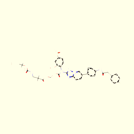 COc1cc(S(C)(=O)=O)ccc1N(C(=O)OCOC(=O)C(C)(C)CNC(=O)OC(C)(C)C)c1nc2ccc(-c3ccc(NC(=O)Cc4ccc(F)cc4)cc3)cn2n1